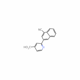 N#Cc1cc(-c2cc(C(=O)O)ccn2)cc2ccccc12